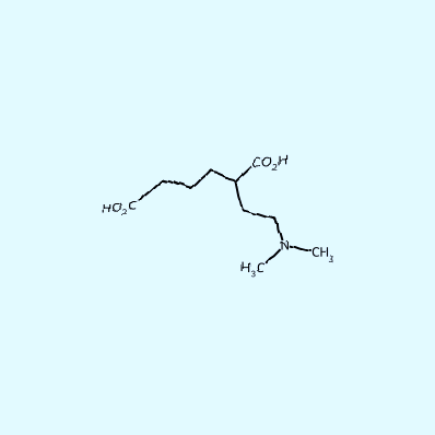 CN(C)CCC(CCCC(=O)O)C(=O)O